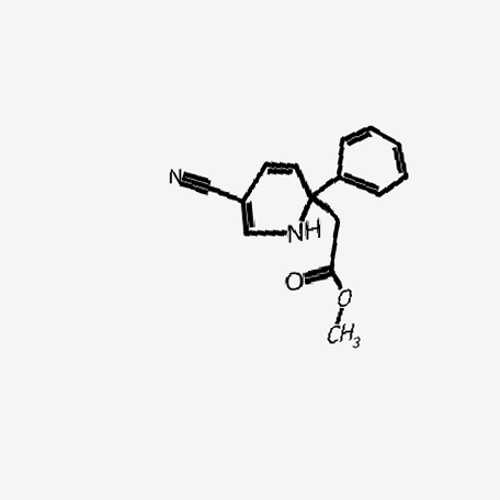 COC(=O)CC1(c2ccccc2)C=CC(C#N)=CN1